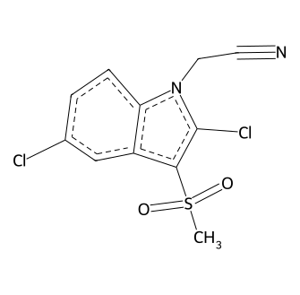 CS(=O)(=O)c1c(Cl)n(CC#N)c2ccc(Cl)cc12